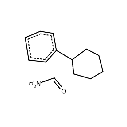 NC=O.c1ccc(C2CCCCC2)cc1